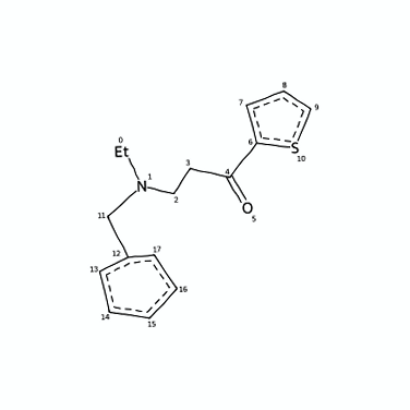 CCN(CCC(=O)c1cccs1)Cc1ccccc1